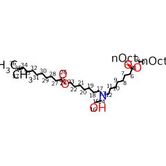 CCCCCCCCC(CCCCCCCC)OC(=O)CCCCCCCN(CCO)CCCCCCCOC(=O)CCCCCCCC=C(C)C